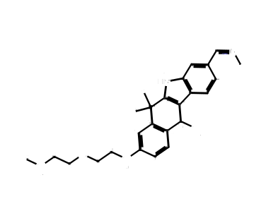 C/N=C\c1ccc2c3c([nH]c2c1)C(C)(C)c1cc(OCCOCCOC)ccc1C3O